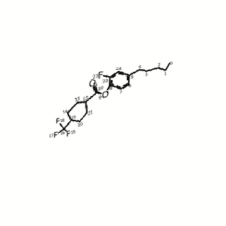 CCCCCc1ccc(OC(=O)C2CCC(C(F)(F)F)CC2)c(F)c1